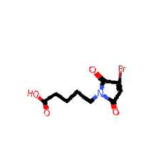 O=C(O)CCCCN1C(=O)C=C(Br)C1=O